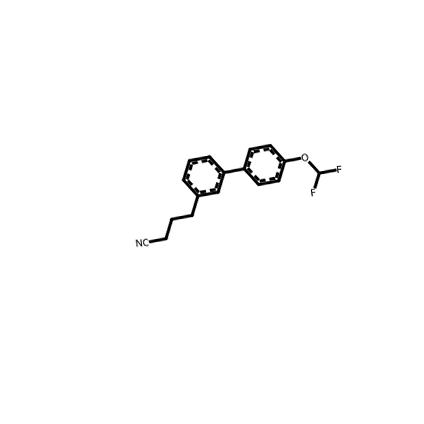 N#CCCCc1cccc(-c2ccc(OC(F)F)cc2)c1